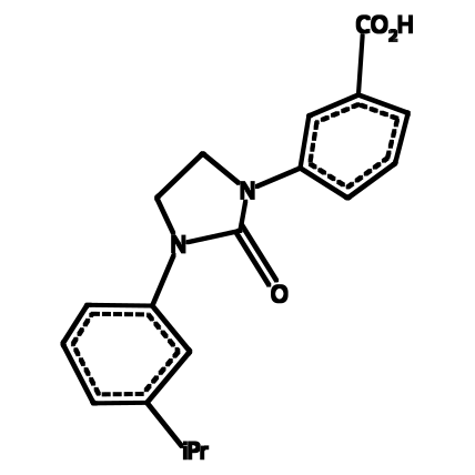 CC(C)c1cccc(N2CCN(c3cccc(C(=O)O)c3)C2=O)c1